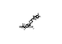 NC(=O)C1(CCN2CCC(CNC3CC3c3ccc(F)c(F)c3)CC2)C=CC(C(=O)NO)=CC1